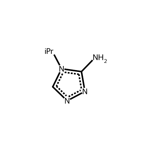 CC(C)n1cnnc1N